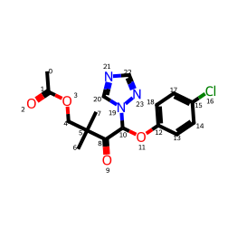 CC(=O)OCC(C)(C)C(=O)C(Oc1ccc(Cl)cc1)n1cncn1